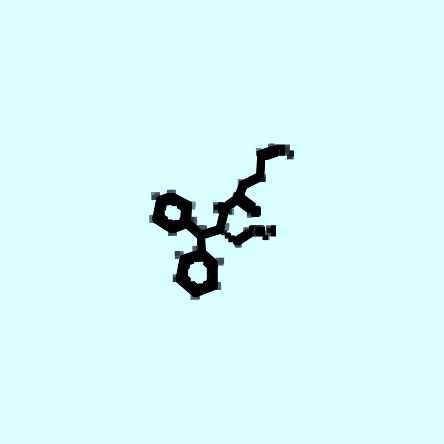 C=CCCC(=O)N[C@H](CC(=O)O)C(c1ccccc1)c1ccccc1